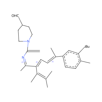 C=C(\N=C(C)/C(=C/C=C(\C)c1ccc(C)c(C(C)CC)c1)C(C)=C(C)C)N1CCC(C=O)CC1